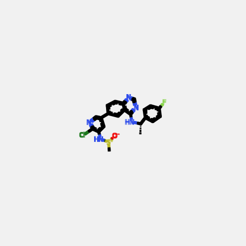 C[C@H](Nc1ncnc2ccc(-c3cnc(Cl)c(N[S+](C)[O-])c3)cc12)c1ccc(F)cc1